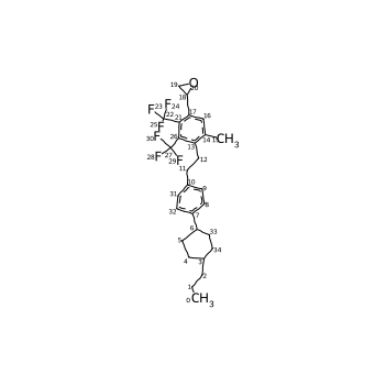 CCCC1CCC(c2ccc(CCc3c(C)cc(C4CO4)c(C(F)(F)F)c3C(F)(F)F)cc2)CC1